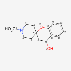 O=C(O)N1CCC2(CC1)CC(O)c1ccccc1O2